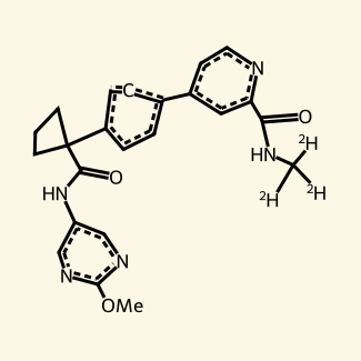 [2H]C([2H])([2H])NC(=O)c1cc(-c2ccc(C3(C(=O)Nc4cnc(OC)nc4)CCC3)cc2)ccn1